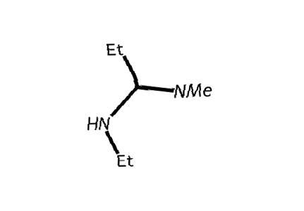 CCNC(CC)NC